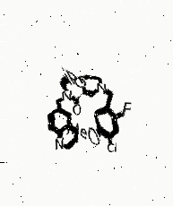 COc1cc(CN2CCO[C@@H](C(=O)N(Cc3ccc4ncccc4c3)CC(C)C)C2)c(F)cc1Cl